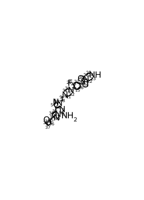 Nc1nc2c(cnn2CCN2CCN(c3ccc(S(=O)(=O)N4CCNCC4)cc3F)CC2)c2cc(-c3ccco3)nn12